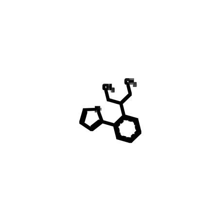 CCC(CC)c1ccccc1C1=CC=C[N]1